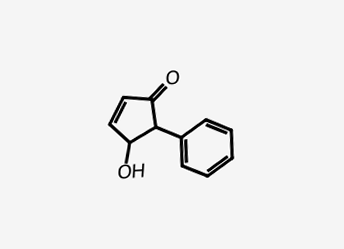 O=C1C=CC(O)C1c1ccccc1